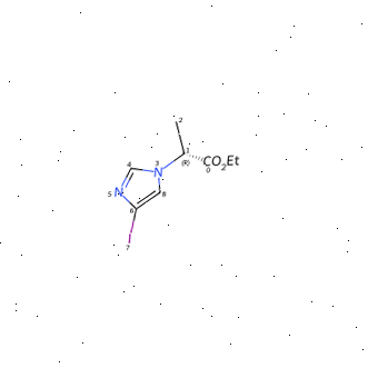 CCOC(=O)[C@@H](C)n1cnc(I)c1